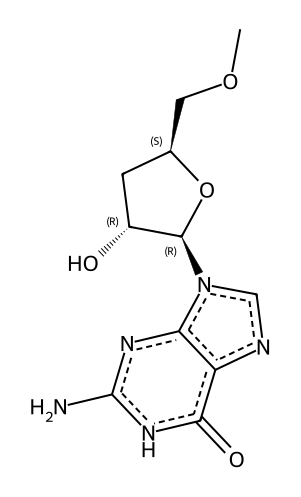 COC[C@@H]1C[C@@H](O)[C@H](n2cnc3c(=O)[nH]c(N)nc32)O1